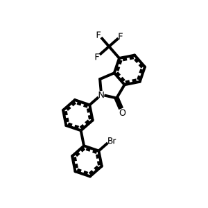 O=C1c2cccc(C(F)(F)F)c2CN1c1cccc(-c2ccccc2Br)c1